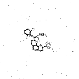 C=[C]([Fe][c]1c(Cl)cccc1Cl)c1ccc2ccc3ccc(C(C)C)nc3c2n1.Cl.N